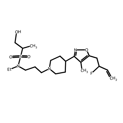 C=CC(F)Cc1onc(C2CCN(CCCN(CC)S(=O)(=O)C(C)CO)CC2)c1C